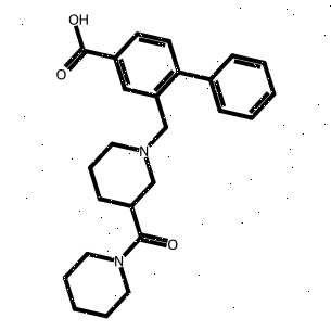 O=C(O)c1ccc(-c2ccccc2)c(CN2CCCC(C(=O)N3CCCCC3)C2)c1